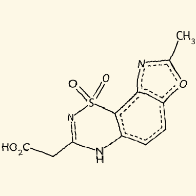 Cc1nc2c3c(ccc2o1)NC(CC(=O)O)=NS3(=O)=O